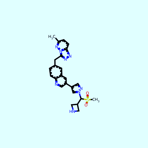 Cc1ccc2nnc(Cc3ccc4ncc(-c5cnn(C(C6CNC6)S(C)(=O)=O)c5)cc4c3)n2n1